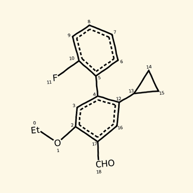 CCOc1cc(-c2ccccc2F)c(C2CC2)cc1C=O